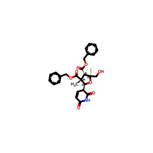 C[C@]1(C(=O)OCc2ccccc2)[C@H](C2C=CC(=O)NC2=O)O[C@](F)(CO)[C@H]1C(=O)OCc1ccccc1